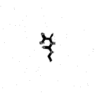 CCOC(=O)N[C@H](C)C(=O)Cl